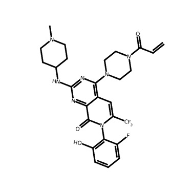 C=CC(=O)N1CCN(c2nc(NC3CCN(C)CC3)nc3c(=O)n(-c4c(O)cccc4F)c(C(F)(F)F)cc23)CC1